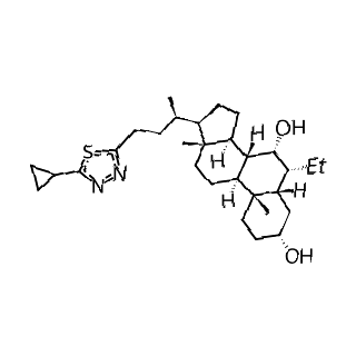 CC[C@H]1[C@@H](O)[C@@H]2[C@H](CC[C@]3(C)[C@@H]([C@H](C)CCc4nnc(C5CC5)s4)CC[C@@H]23)[C@@]2(C)CC[C@@H](O)C[C@@H]12